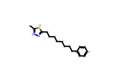 Cc1nnc(CCCCCCCCc2ccccc2)s1